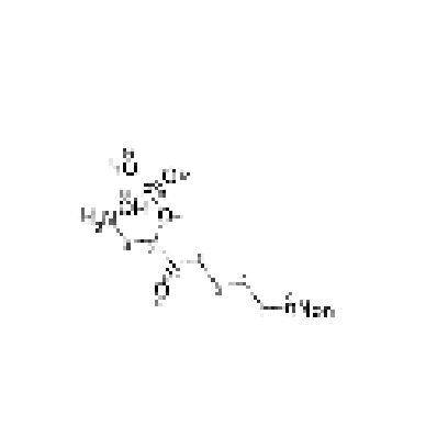 CCCCCCCCCCCCCC(=O)C(CN)OP(=O)(O)O